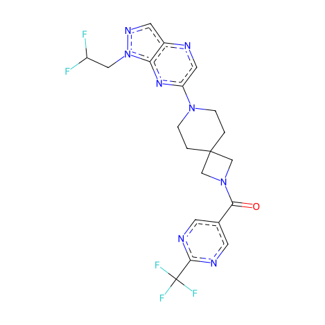 O=C(c1cnc(C(F)(F)F)nc1)N1CC2(CCN(c3cnc4cnn(CC(F)F)c4n3)CC2)C1